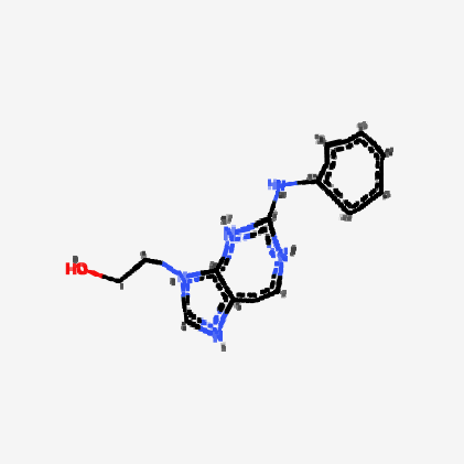 OCCn1cnc2cnc(Nc3ccccc3)nc21